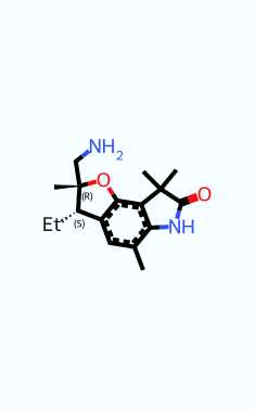 CC[C@H]1c2cc(C)c3c(c2O[C@@]1(C)CN)C(C)(C)C(=O)N3